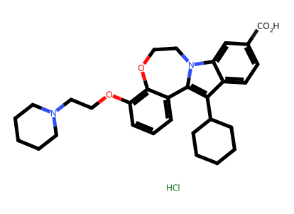 Cl.O=C(O)c1ccc2c(C3CCCCC3)c3n(c2c1)CCOc1c(OCCN2CCCCC2)cccc1-3